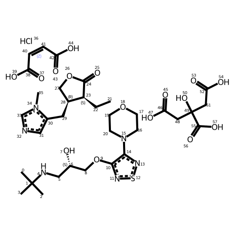 CC(C)(C)NC[C@H](O)COc1nsnc1N1CCOCC1.CC[C@@H]1C(=O)OC[C@@H]1Cc1cncn1C.Cl.O=C(O)/C=C\C(=O)O.O=C(O)CC(O)(CC(=O)O)C(=O)O